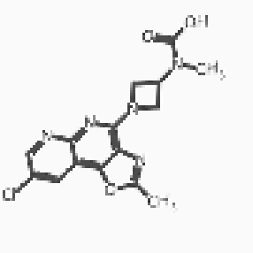 Cc1nc2c(N3CC(N(C)C(=O)O)C3)nc3ncc(Cl)cc3c2o1